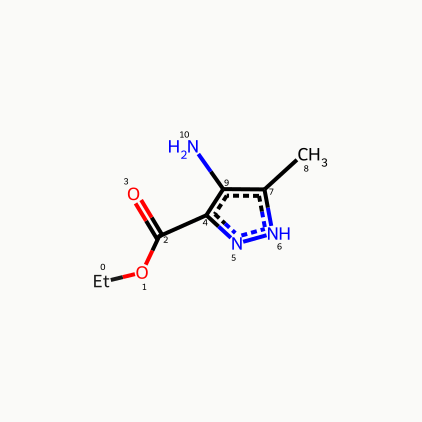 CCOC(=O)c1n[nH]c(C)c1N